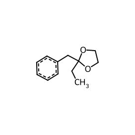 CCC1(Cc2ccccc2)OCCO1